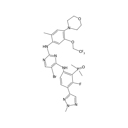 Cc1cc(N2CCOCC2)c(OCC(F)(F)F)cc1Nc1ncc(Br)c(Nc2ccc(-c3cnn(C)n3)c(F)c2P(C)(C)=O)n1